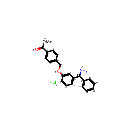 COC(=O)c1ccc(COc2cccc(C(N)c3ccccc3)c2)cc1.Cl